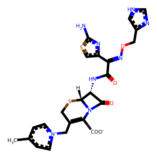 Cc1cc[n+](CC2=C(C(=O)[O-])N3C(=O)[C@@H](NC(=O)/C(=N/OCc4c[nH]cn4)c4csc(N)n4)[C@H]3SC2)cc1